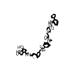 C[C@@H](Cc1cccc(CNC(=O)Cc2ccc(N(C)C(=O)CCN3CCC(OC(=O)Nc4ccccc4-c4ccccc4)CC3)cc2)c1)NCCc1ccc(O)c2[nH]c(=O)ccc12